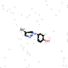 N#Cc1cnn(-c2ccc(O)c(F)c2)c1